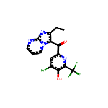 CCc1nc2ncccn2c1C(=O)c1cc(Br)c(O)c(C(F)(F)F)n1